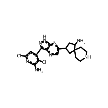 Nc1nc(Cl)cc(-c2n[nH]c3nc(C4CC(N)C5(CCNCC5)C4)cnc23)c1Cl